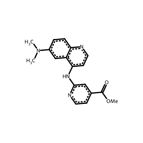 COC(=O)c1ccnc(Nc2ccnc3ccc(N(C)C)cc23)c1